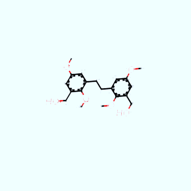 COc1cc(CO)c(OC)c(CCc2cc(OC)cc(CO)c2OC)c1